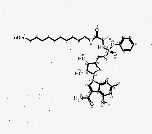 CCCCCCCCCCCCCCCCCCCCOC(=O)[C@H](C)NP(=O)(OC[C@H]1O[C@@H](n2cc(C(N)=O)c3c(N)nc(C)nc32)[C@H](O)[C@@H]1O)Oc1ccccc1